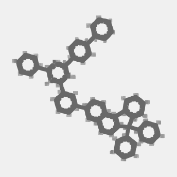 c1ccc(-c2ccc(-c3nc(-c4ccccc4)nc(-c4cccc(-c5ccc6c7c(ccc6c5)C(c5ccccc5)(c5ccccc5)c5ccccc5-7)c4)n3)cc2)cc1